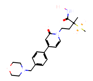 CC(CCn1ccc(-c2ccc(CN3CCOCC3)cc2)cc1=O)(C(=O)NO)S(C)(=O)=O